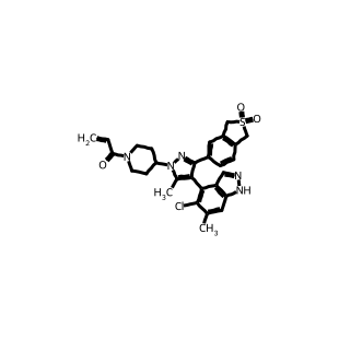 C=CC(=O)N1CCC(n2nc(-c3ccc4c(c3)CS(=O)(=O)C4)c(-c3c(Cl)c(C)cc4[nH]ncc34)c2C)CC1